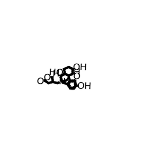 O=C1CC(CN2CC[C@]34c5c6ccc(O)c5O[C@H]3[C@@H](O)CC[C@@]4(O)[C@H]2C6)CO1